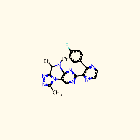 CCC1c2nnc(C)n2-c2cnc(-c3nccnc3-c3ccc(F)cc3)nc2N1C(C)C